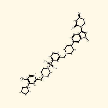 Cn1nc(N2CCC(=O)NC2=O)c2ccc(C3CCN(Cc4cccc(S(=O)(=O)N5CCC(Nc6ncc(C(F)(F)F)c(N7CCCC7)n6)CC5)c4)CC3)cc21